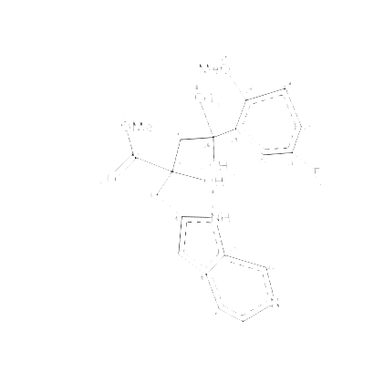 COC(=O)C(O)(Cc1cc2ccncc2[nH]1)CC(C)(C)c1cc(F)ccc1OC